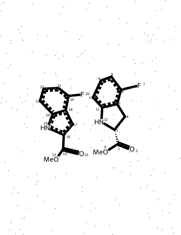 COC(=O)[C@H]1Cc2c(F)cccc2N1.COC(=O)c1cc2c(F)cccc2[nH]1